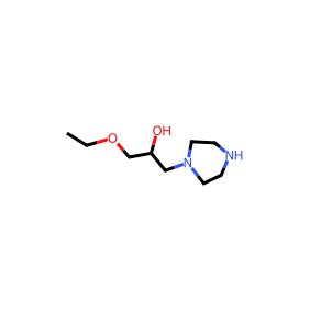 CCOCC(O)CN1CCNCC1